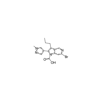 CCCc1c(-c2cnn(C)c2)n(C(=O)O)c2cc(Br)ncc12